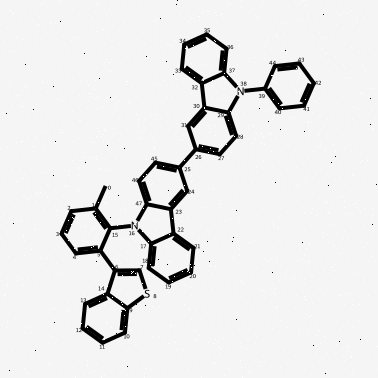 Cc1cccc(-c2csc3ccccc23)c1-n1c2ccccc2c2cc(-c3ccc4c(c3)c3ccccc3n4-c3ccccc3)ccc21